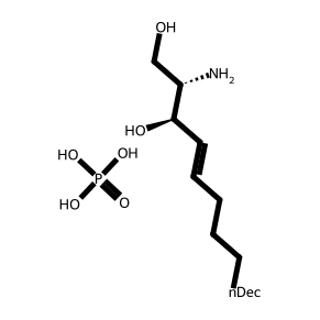 CCCCCCCCCCCCC/C=C/[C@@H](O)[C@@H](N)CO.O=P(O)(O)O